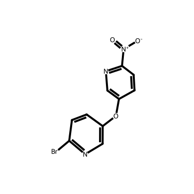 O=[N+]([O-])c1ccc(Oc2ccc(Br)nc2)cn1